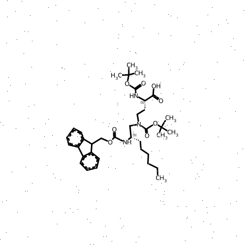 CCCCCC[C@@H](CN(CC[C@H](NC(=O)OC(C)(C)C)C(=O)O)C(=O)OC(C)(C)C)NC(=O)OCC1c2ccccc2-c2ccccc21